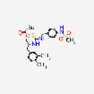 Cc1ccc(CC(COC(=O)C(C)(C)C)NC(=S)NCc2ccc(NS(C)(=O)=O)cc2)cc1C